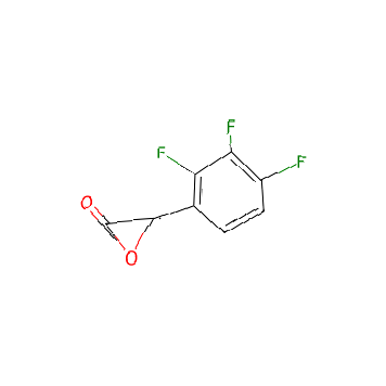 O=C1O[C]1c1ccc(F)c(F)c1F